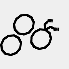 C1CCCCCCCCCC1.C1CCCCCCCCCC1.OCC1(CO)CCCCCCCCCC1